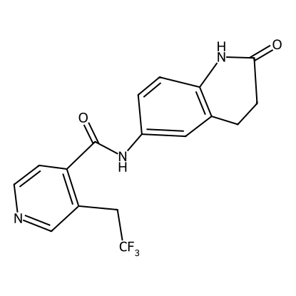 O=C1CCc2cc(NC(=O)c3ccncc3CC(F)(F)F)ccc2N1